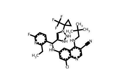 CCc1nc(F)ccc1[C@H](Nc1cc(Cl)c2ncc(C#N)c(NCC(C)(C)C)c2c1)C1=CN(C2(C(F)(F)F)CC2)NN1